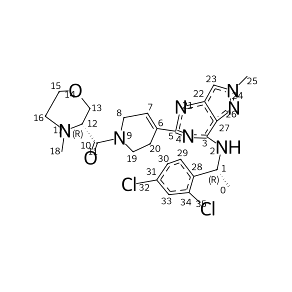 C[C@@H](Nc1nc(C2=CCN(C(=O)[C@H]3COCCN3C)CC2)nc2cn(C)nc12)c1ccc(Cl)cc1Cl